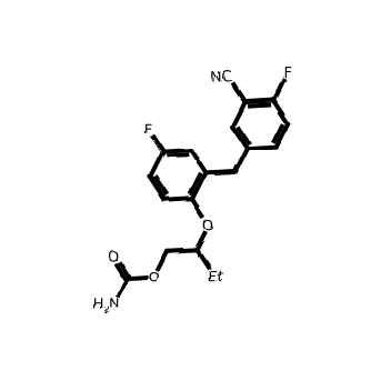 CCC(COC(N)=O)Oc1ccc(F)cc1Cc1ccc(F)c(C#N)c1